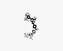 COc1ccc(-c2cc(C(F)(F)F)n3nc(-c4ccc(C(=O)N5CCN(C(=O)OC(C)(C)C)CC5)cc4)cc3n2)cc1OC